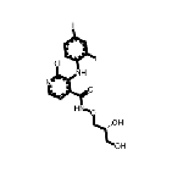 O=C(NOC[C@H](O)CO)c1ccnc(Cl)c1Nc1ccc(I)cc1F